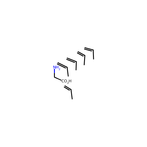 C=CC.C=CC.C=CC.C=CC.C=CC.NCC(=O)O